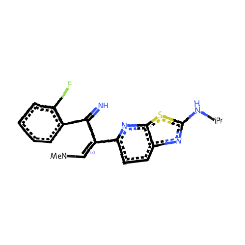 CN/C=C(\C(=N)c1ccccc1F)c1ccc2nc(NC(C)C)sc2n1